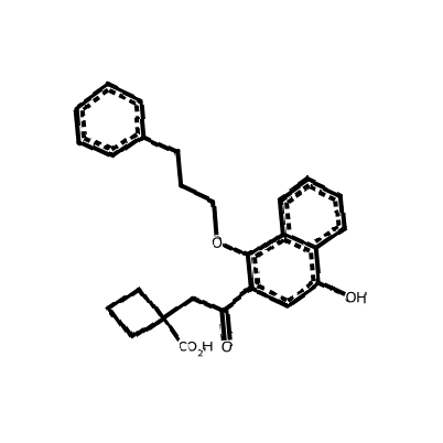 O=C(CC1(C(=O)O)CCC1)c1cc(O)c2ccccc2c1OCCCc1ccccc1